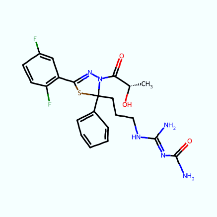 C[C@H](O)C(=O)N1N=C(c2cc(F)ccc2F)SC1(CCCN/C(N)=N/C(N)=O)c1ccccc1